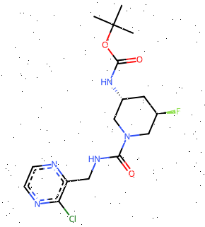 CC(C)(C)OC(=O)N[C@@H]1C[C@@H](F)CN(C(=O)NCc2nccnc2Cl)C1